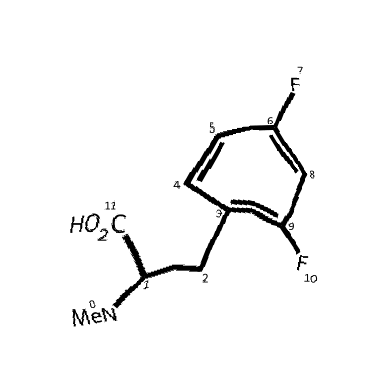 CNC(Cc1ccc(F)cc1F)C(=O)O